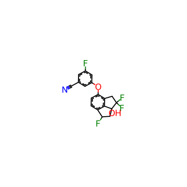 N#Cc1cc(F)cc(Oc2ccc3c4c2CC(F)(F)C4(O)CC3F)c1